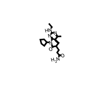 CCNC1N=C(C)C2=CC(CCC(N)=O)C(=O)N(C3CCCC3)C2=N1